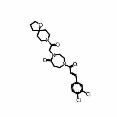 O=C(C=Cc1ccc(Cl)c(Cl)c1)N1CCC(=O)N(CC(=O)N2CCC3(CCCO3)CC2)CC1